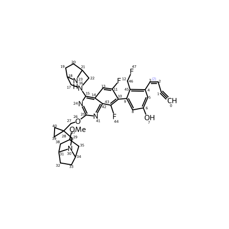 C#C/C=C\c1cc(O)cc(-c2c(F)cc3c(N4CC5CCC(C4)N5)nc(OCC4(CN5C6CCC5CC(OC)C6)CC4)nc3c2F)c1CF